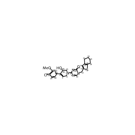 COc1nc(C2=CCN(c3ncn(Cc4cc5c(s4)CCCC5)c(=O)n3)C[C@@H]2O)ccc1Cl